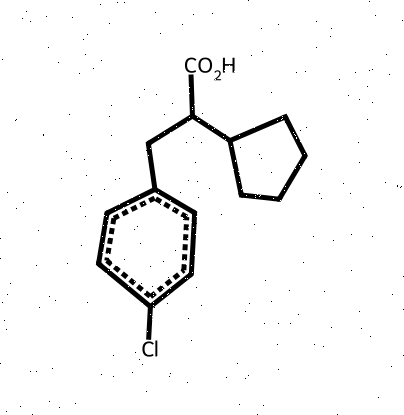 O=C(O)C(Cc1ccc(Cl)cc1)C1CCCC1